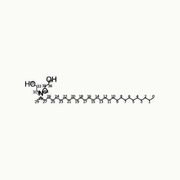 CCCCCCCCCCCCCCCCCCCCCCCCCCCCC(C)N(CCO)OCCO